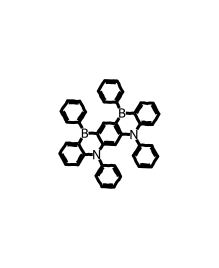 c1ccc(B2c3ccccc3N(c3ccccc3)c3cc4c(cc32)B(c2ccccc2)c2ccccc2N4c2ccccc2)cc1